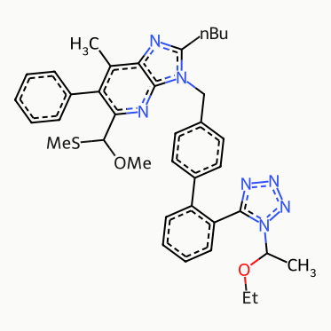 CCCCc1nc2c(C)c(-c3ccccc3)c(C(OC)SC)nc2n1Cc1ccc(-c2ccccc2-c2nnnn2C(C)OCC)cc1